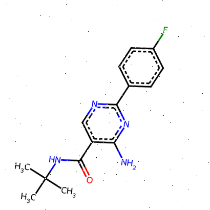 CC(C)(C)NC(=O)c1cnc(-c2ccc(F)cc2)nc1N